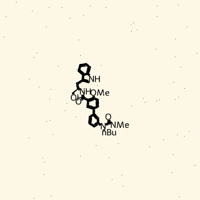 CCCCN(C(=O)NC)c1cccc(-c2ccc(OC)c(C(=O)N[C@@H](CO)Cc3c[nH]c4ccccc34)c2)c1